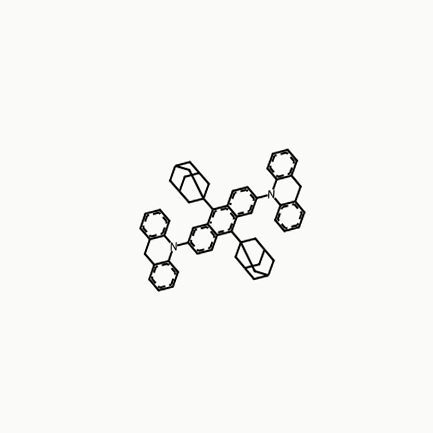 c1ccc2c(c1)Cc1ccccc1N2c1ccc2c(C34CC5CC(CC(C5)C3)C4)c3cc(N4c5ccccc5Cc5ccccc54)ccc3c(C34CC5CC(CC(C5)C3)C4)c2c1